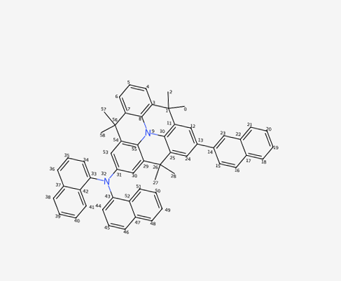 CC1(C)c2cccc3c2N2c4c1cc(-c1ccc5ccccc5c1)cc4C(C)(C)c1cc(N(c4cccc5ccccc45)c4cccc5ccccc45)cc(c12)C3(C)C